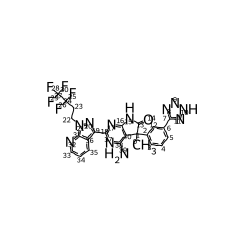 CC1(c2cccc(-c3nn[nH]n3)c2)C(=O)Nc2nc(-c3nn(CCC(F)(F)C(F)(F)F)c4ncccc34)nc(N)c21